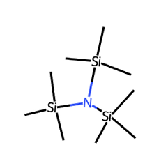 C[Si](C)(C)N([Si](C)(C)C)[Si](C)(C)C